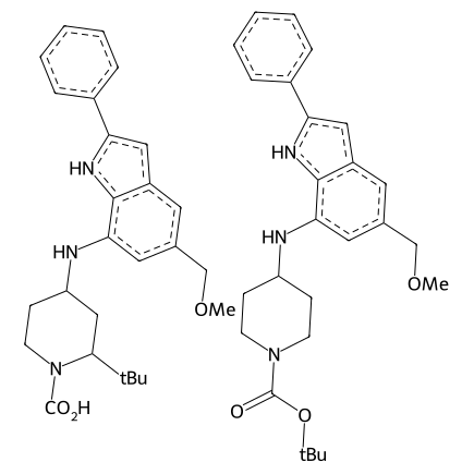 COCc1cc(NC2CCN(C(=O)O)C(C(C)(C)C)C2)c2[nH]c(-c3ccccc3)cc2c1.COCc1cc(NC2CCN(C(=O)OC(C)(C)C)CC2)c2[nH]c(-c3ccccc3)cc2c1